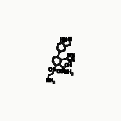 NCCS(=O)(=O)c1ccc(-c2ccc3[nH]ncc3c2)c(-c2nnn[nH]2)c1S(N)(=O)=O